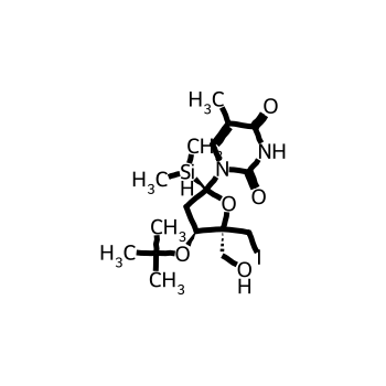 Cc1cn([C@@]2([SiH](C)C)C[C@H](OC(C)(C)C)[C@](CO)(CI)O2)c(=O)[nH]c1=O